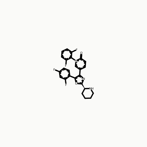 O=c1ccc(-c2nc([C@@H]3CCCCN3)oc2-c2ccc(F)cc2F)cn1-c1c(F)cccc1F